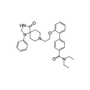 CCN(CC)C(=O)c1ccc(-c2ccccc2OCCN2CCC3(CC2)C(=O)NCN3c2ccccc2)cc1